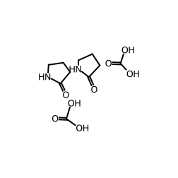 O=C(O)O.O=C(O)O.O=C1CCCN1.O=C1CCCN1